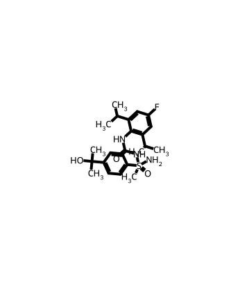 CC(C)c1cc(F)cc(C(C)C)c1NC(=O)NS(C)(N)(=O)c1ccc(C(C)(C)O)cc1